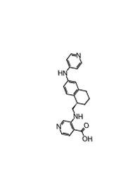 O=C(O)c1ccncc1NC[C@@H]1CCCc2cc(Nc3ccncc3)ccc21